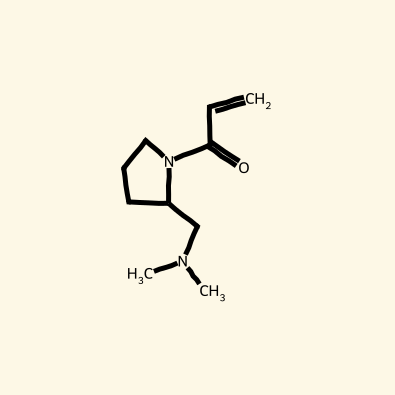 C=CC(=O)N1CCCC1CN(C)C